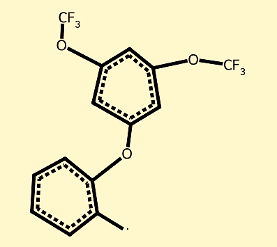 [CH2]c1ccccc1Oc1cc(OC(F)(F)F)cc(OC(F)(F)F)c1